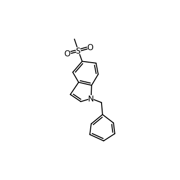 CS(=O)(=O)c1ccc2c(ccn2Cc2ccccc2)c1